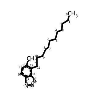 CCCCCCCCCCCCc1c(C)ccc2c1N=N[N]2